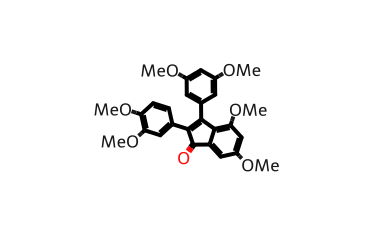 COc1cc(OC)cc(C2=C(c3ccc(OC)c(OC)c3)C(=O)c3cc(OC)cc(OC)c32)c1